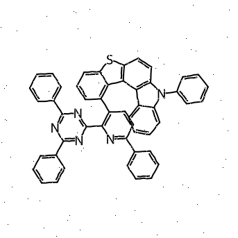 c1ccc(-c2ccc(-c3cccc4sc5ccc6c(c7ccccc7n6-c6ccccc6)c5c34)c(-c3nc(-c4ccccc4)nc(-c4ccccc4)n3)n2)cc1